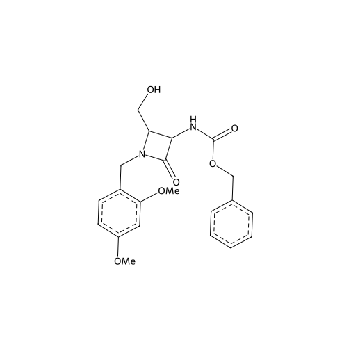 COc1ccc(CN2C(=O)C(NC(=O)OCc3ccccc3)C2CO)c(OC)c1